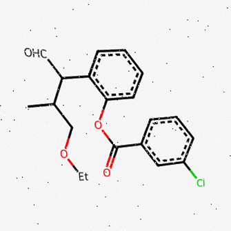 CCOCC(C)C(C=O)c1ccccc1OC(=O)c1cccc(Cl)c1